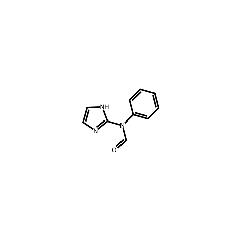 O=CN(c1ccccc1)c1ncc[nH]1